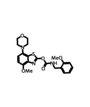 COc1ccccc1CNC(=O)Oc1nc2c(OC)ccc(N3CCOCC3)c2s1